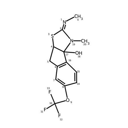 CN=C1SC2Cc3cc(OC(F)(F)F)ccc3C2(O)N1C